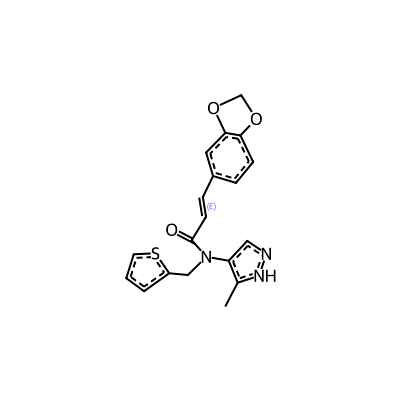 Cc1[nH]ncc1N(Cc1cccs1)C(=O)/C=C/c1ccc2c(c1)OCO2